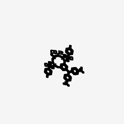 CCOC(=O)CN1CCN(OS(=O)(=O)c2ccc(C)cc2)Cc2cc(cc(C(c3ccc(N(C)C)cc3)c3ccc(N(C)C)cc3)c2)CN(OS(=O)(=O)c2ccc(C)cc2)CC1